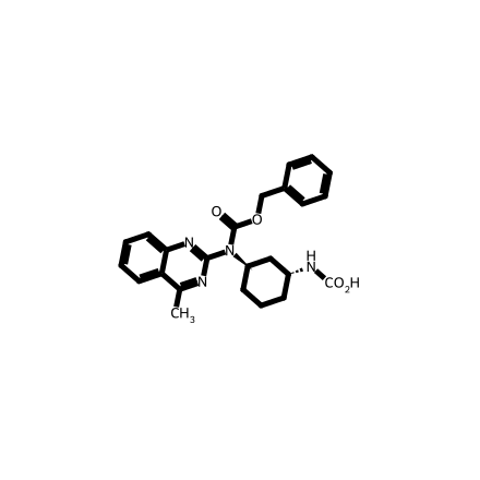 Cc1nc(N(C(=O)OCc2ccccc2)[C@@H]2CCC[C@@H](NC(=O)O)C2)nc2ccccc12